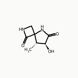 C[C@H]1[C@H](O)C(=O)NC12CNC2=O